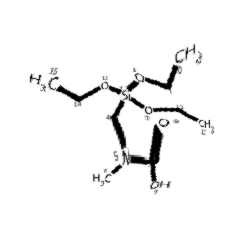 CCO[Si](CN(C)C(=O)O)(OCC)OCC